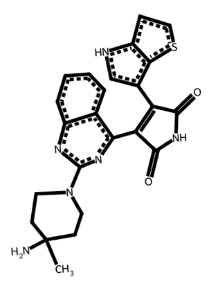 CC1(N)CCN(c2nc(C3=C(c4c[nH]c5ccsc45)C(=O)NC3=O)c3ccccc3n2)CC1